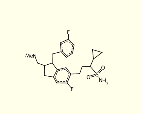 CNCC1Cc2cc(F)c(CCC(C3CC3)S(N)(=O)=O)cc2C1Cc1cccc(F)c1